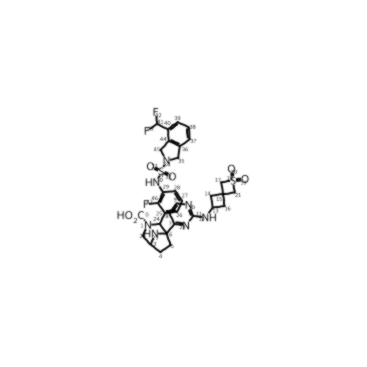 O=C(O)N1CC2CCC(c3ccnc(NC4CC5(C4)CS(=O)(=O)C5)n3)(N2)C1c1cccc(NS(=O)(=O)N2Cc3cccc(C(F)F)c3C2)c1F